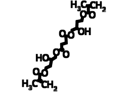 C=C(C)C(=O)OCCC(O)COC(=O)CCC(=O)OCC(O)CCOC(=O)C(=C)C